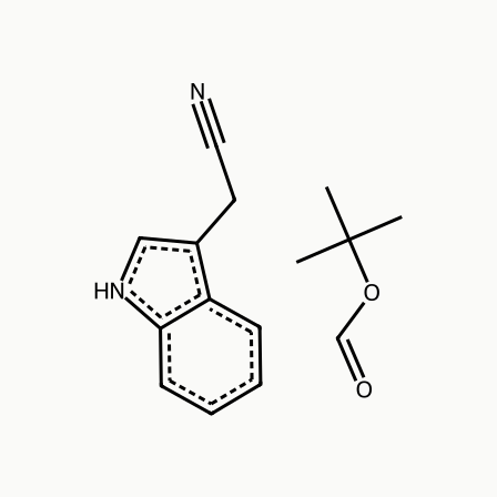 CC(C)(C)OC=O.N#CCc1c[nH]c2ccccc12